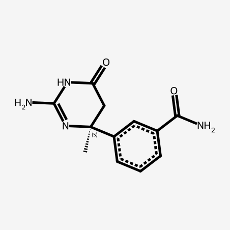 C[C@@]1(c2cccc(C(N)=O)c2)CC(=O)NC(N)=N1